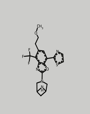 COCCc1cc(-c2nccs2)c2oc(N3CC4CC(C3)N4)nc2c1C(F)(F)F